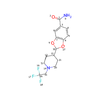 NC(=O)c1ccc2c(c1)OC(C1CCN(CC(F)(F)F)CC1)O2